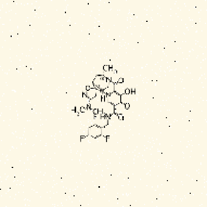 C[C@H]1CC[C@]2(CC(N(C)C)=NO2)[C@H]2CN1C(=O)c1c(O)c(=O)c(C(=O)NCc3c(F)cc(F)cc3F)cn12